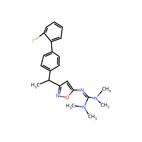 CC(c1ccc(-c2ccccc2F)cc1)c1cc(N=C(N(C)C)N(C)C)on1